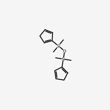 C[Si](C)(O[Si](C)(C)C1=[C]CC=C1)C1=[C]CC=C1